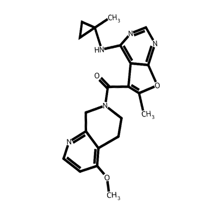 COc1ccnc2c1CCN(C(=O)c1c(C)oc3ncnc(NC4(C)CC4)c13)C2